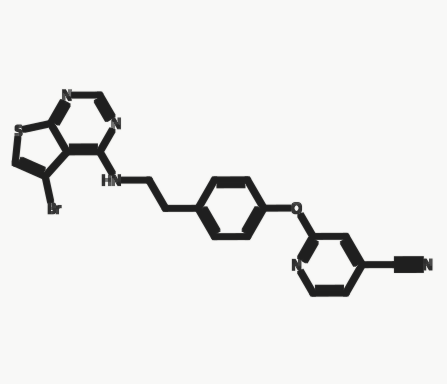 N#Cc1ccnc(Oc2ccc(CCNc3ncnc4scc(Br)c34)cc2)c1